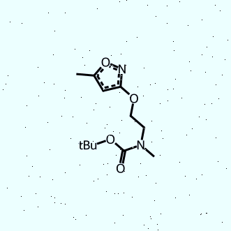 Cc1cc(OCCN(C)C(=O)OC(C)(C)C)no1